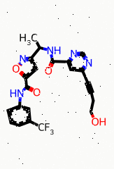 CC(NC(=O)c1cc(C#CCCO)ncn1)c1cc(C(=O)Nc2cccc(C(F)(F)F)c2)on1